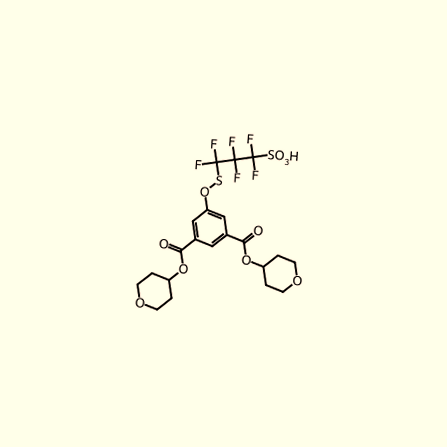 O=C(OC1CCOCC1)c1cc(OSC(F)(F)C(F)(F)C(F)(F)S(=O)(=O)O)cc(C(=O)OC2CCOCC2)c1